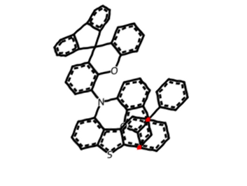 c1ccc(-c2ccc3sc4cccc(N(c5cccc6c5Oc5ccccc5C65c6ccccc6-c6ccccc65)c5cccc6c5oc5ccccc56)c4c3c2)cc1